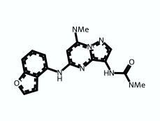 CNC(=O)Nc1cnn2c(NC)cc(Nc3cccc4occc34)nc12